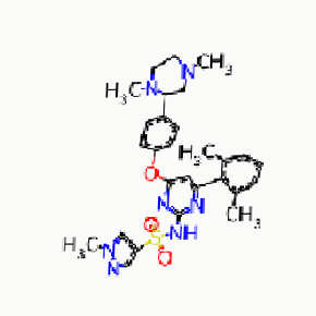 Cc1cccc(C)c1-c1cc(Oc2ccc([C@@H]3CN(C)CCN3C)cc2)nc(NS(=O)(=O)c2cnn(C)c2)n1